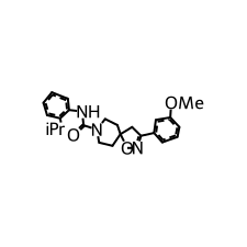 COc1cccc(C2=NOC3(CCN(C(=O)Nc4ccccc4C(C)C)CC3)C2)c1